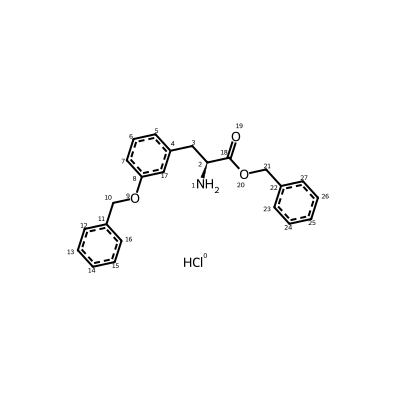 Cl.N[C@@H](Cc1cccc(OCc2ccccc2)c1)C(=O)OCc1ccccc1